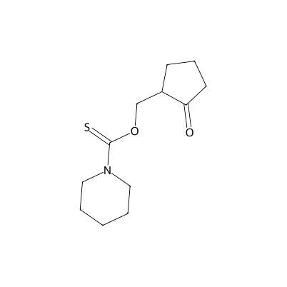 O=C1CCCC1COC(=S)N1CCCCC1